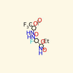 CCOc1cc(=O)[nH]cc1-c1ccc(NC(=O)Nc2ccc(OC3(C)COC3)c(C(F)(F)F)c2)c(F)c1